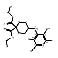 CCOC(=O)C1(C(=O)OCC)CCC(Nc2c(F)c(F)nc(F)c2F)CC1